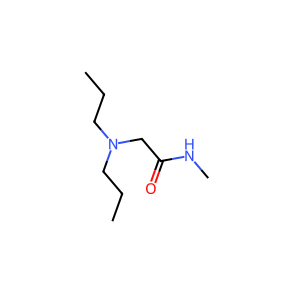 CCCN(CCC)CC(=O)NC